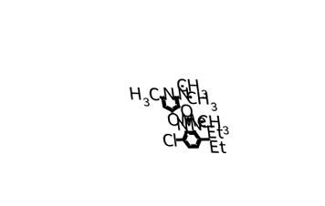 CCC(CC)c1ccc(Cl)c2nc(Oc3c(OC)cc(C)nc3N(C)C)n(C)c12